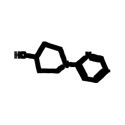 OC1CCN(c2cc[c]cn2)CC1